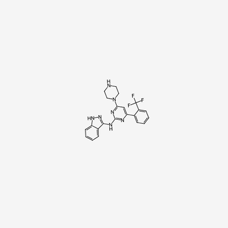 FC(F)(F)c1ccccc1-c1cc(N2CCNCC2)nc(Nc2n[nH]c3ccccc23)n1